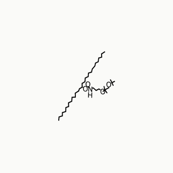 CCCCCCCCCCCCCCC(CCCCCCCCCCCCCC)OC(=O)NCCCOC(C)(C)COC(C)(C)C